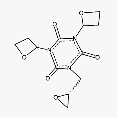 O=c1n(C[C@@H]2CO2)c(=O)n(C2CCO2)c(=O)n1C1CCO1